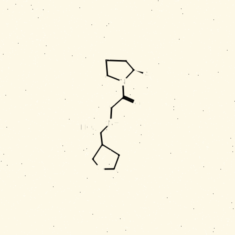 CC(=O)[C@@H]1CCCN1C(=O)CN[C@@H](O)C1CCOC1